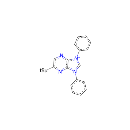 CC(C)(C)c1cnc2c(n1)n(-c1ccccc1)c[n+]2-c1ccccc1